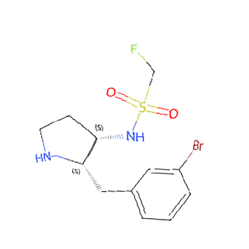 O=S(=O)(CF)N[C@H]1CCN[C@H]1Cc1cccc(Br)c1